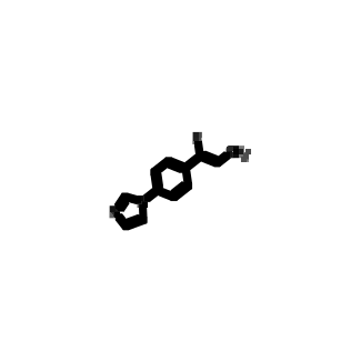 [CH2]/C=C(\F)c1ccc(-n2ccnc2)cc1